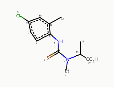 CCN(C(=S)Nc1ccc(Cl)cc1C)C(C)C(=O)O